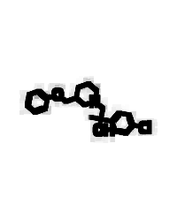 CC(O)(CN1CCCC(COc2ccccc2)C1)c1ccc(Cl)cc1